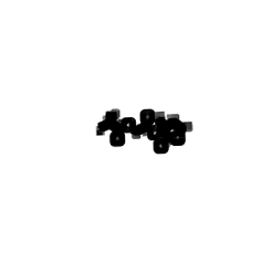 C=C(C)C(=O)OCC(=O)OC1(C)CCOC1=O